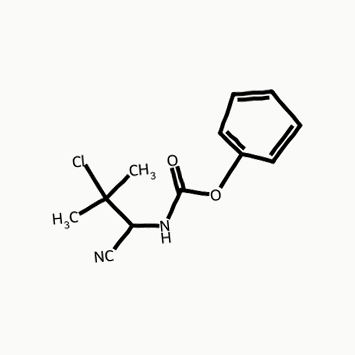 CC(C)(Cl)C(C#N)NC(=O)Oc1ccccc1